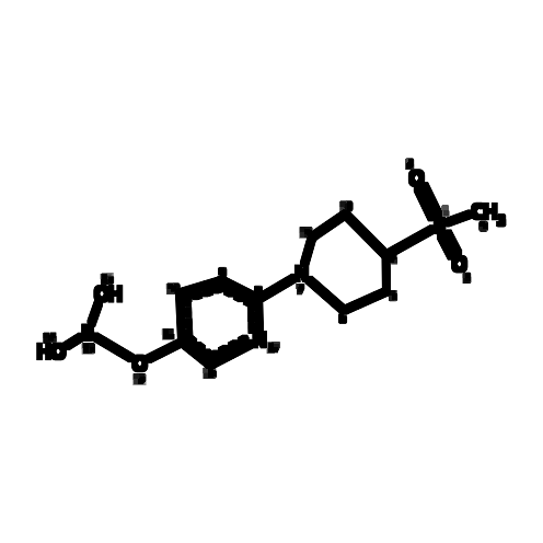 CS(=O)(=O)C1CCN(c2ccc(OB(O)O)cn2)CC1